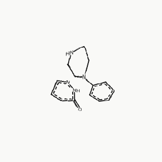 O=c1cccn[nH]1.c1ccc(N2CCNCC2)cc1